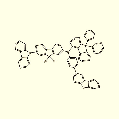 CC1(C)c2cc(N(c3ccc(-c4ccc5oc6ccccc6c5c4)cc3)c3cccc4c3-c3ccccc3C4(c3ccccc3)c3ccccc3)ccc2-c2ccc(-n3c4ccccc4c4ccccc43)cc21